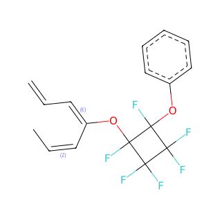 C=C/C=C(\C=C/C)OC1(F)C(F)(F)C(F)(F)C1(F)Oc1ccccc1